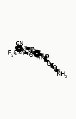 N#Cc1cc(N2CCN(S(=O)(=O)c3ccc(CNC(=O)CCOCCOCCN)cc3)CC2)cc(C(F)(F)F)c1